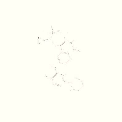 C[C@H]1CCCN(c2ncc(Cl)c(Nc3ccc4c(c3)c3c(c(=O)n4C)OCC(F)(F)[C@H](C4CC4)N3)n2)C1